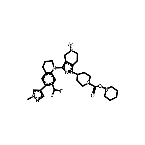 CC(=O)N1CCc2c(c(N3CCCc4cc(-c5cnn(C)c5)c(C(F)F)cc43)nn2C2CCN(C(=O)ON3CCCCC3)CC2)C1